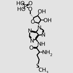 CSCC[C@H](N)C(=O)Nc1ncnc2c1ncn2[C@@H]1O[C@H](COP(=O)(O)O)[C@@H](O)[C@H]1O